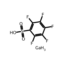 O=S(=O)(O)c1c(F)c(F)c(F)c(F)c1F.[GaH3]